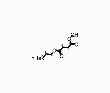 CCCCCCCCOC(=O)CCC(=O)OO